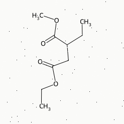 CCOC(=O)CC(CC)C(=O)OC